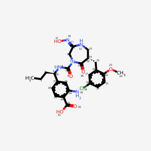 CCC[C@@H](NC(=O)N1C/C(=N\O)NC[C@H](Cc2cc(Cl)ccc2OC)C1=O)c1ccc(C(=O)O)c(N)c1